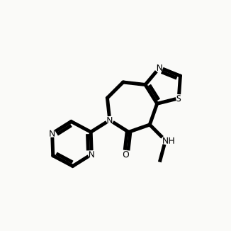 CNC1C(=O)N(c2cnccn2)CCc2ncsc21